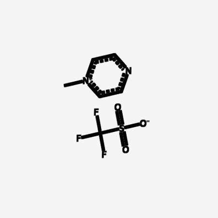 C[n+]1ccncc1.O=S(=O)([O-])C(F)(F)F